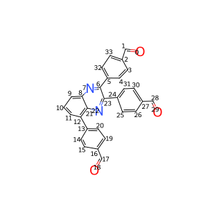 O=Cc1ccc(-c2nc3cccc(-c4ccc(C=O)cc4)c3nc2-c2ccc(C=O)cc2)cc1